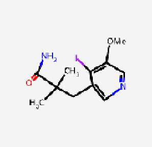 COc1cncc(CC(C)(C)C(N)=O)c1I